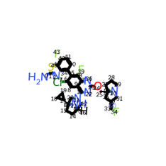 Nc1nc2c(-c3c(Cl)cc4c(N5C[C@@H]6CC[C@](C7CC7)(C5)N6)nc(OC[C@@]56CCCN5C/C(=C\F)C6)nc4c3F)ccc(F)c2s1